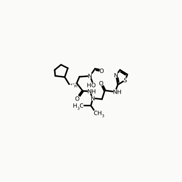 CC(C)N(CC(=O)Nc1nccs1)NC(=O)[C@H](CC1CCCC1)CN(O)C=O